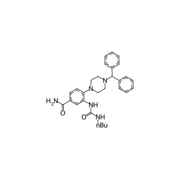 CCCCNC(=O)Nc1cc(C(N)=O)ccc1N1CCN(C(c2ccccc2)c2ccccc2)CC1